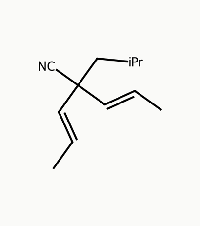 CC=CC(C#N)(C=CC)CC(C)C